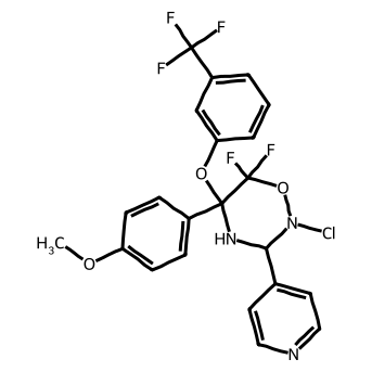 COc1ccc(C2(Oc3cccc(C(F)(F)F)c3)NC(c3ccncc3)N(Cl)OC2(F)F)cc1